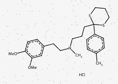 COc1ccc(CCN(C)C[CH]CC2(c3ccc(C)cc3)SCCCS2)cc1OC.Cl